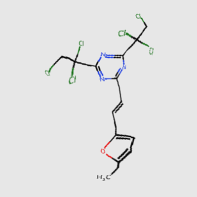 Cc1ccc(/C=C/c2nc(C(Cl)(Cl)CCl)nc(C(Cl)(Cl)CCl)n2)o1